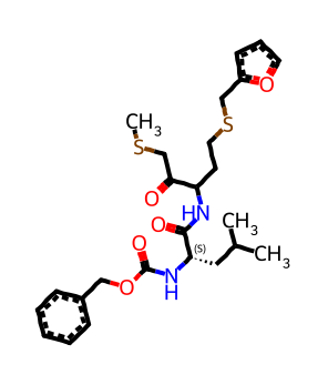 CSCC(=O)C(CCSCc1ccco1)NC(=O)[C@H](CC(C)C)NC(=O)OCc1ccccc1